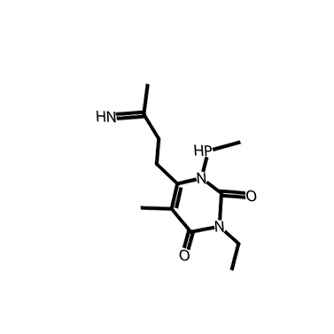 CCn1c(=O)c(C)c(CCC(C)=N)n(PC)c1=O